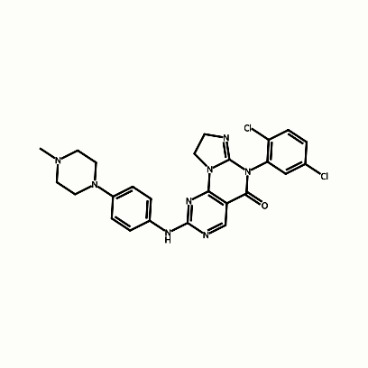 CN1CCN(c2ccc(Nc3ncc4c(n3)N3CCN=C3N(c3cc(Cl)ccc3Cl)C4=O)cc2)CC1